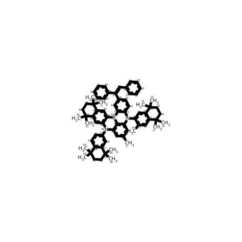 Cc1cc2c3c(c1)N(c1cc4c(cc1C)C(C)(C)CCC4(C)C)c1ccc(/C(=C\c4ccccc4)c4ccccc4)cc1B3c1cc3c(cc1N2c1ccc2c(c1)C(C)(C)CCC2(C)C)C(C)(C)CCC3(C)C